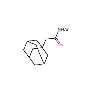 CC(=O)NC(=O)CC12CC3CC(CC(C3)C1)C2